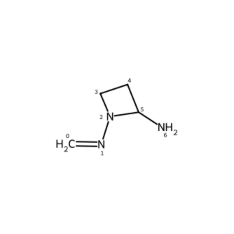 C=NN1CCC1N